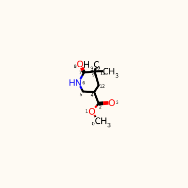 COC(=O)C1CNC(=O)C(C)(C)C1